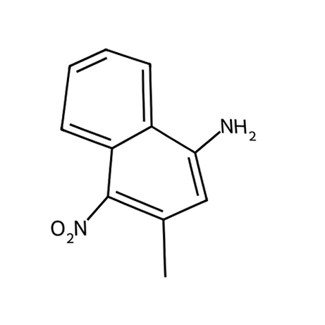 Cc1cc(N)c2ccccc2c1[N+](=O)[O-]